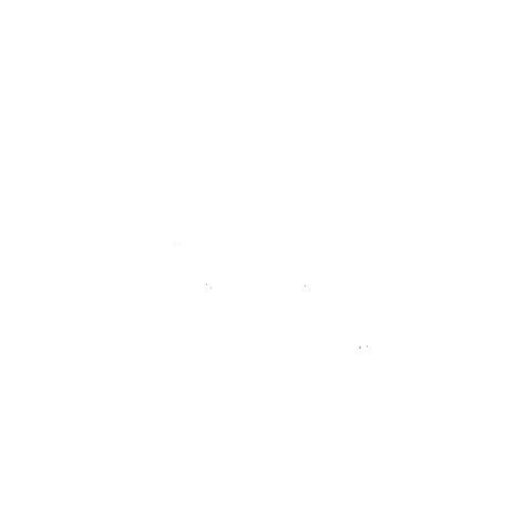 O=C(Nc1ccc2c(=O)c(O)c[nH]c2c1)NC1CC2CCC(C2)C1